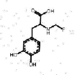 O=C(O)C(Cc1ccc(O)c(O)c1)NCF